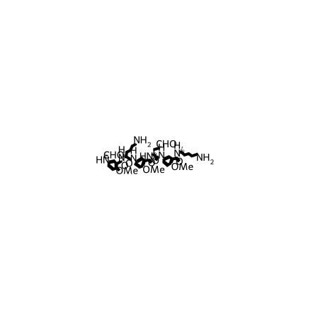 COc1ccc(NC=O)cc1C(=O)NC(CCCCN)C(=O)Nc1ccc(OC)c(C(=O)N[C@@H](CCC=O)C(=O)Nc2ccc(OC)c(C(=O)N[C@H](C)CCCCN)c2)c1